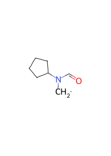 [CH2]N(C=O)C1CCCC1